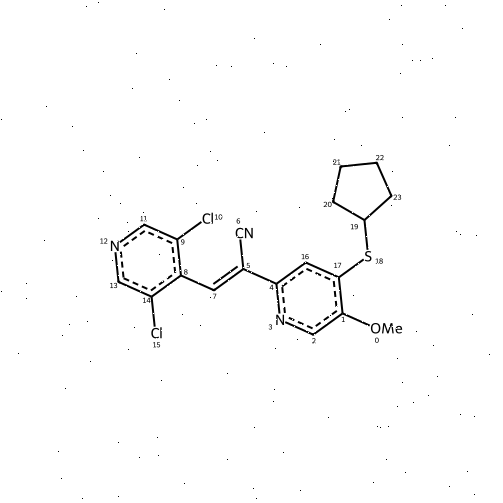 COc1cnc(C(C#N)=Cc2c(Cl)cncc2Cl)cc1SC1CCCC1